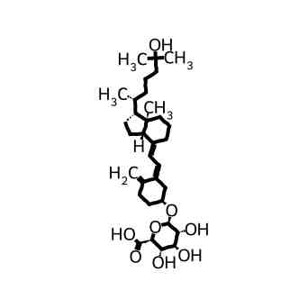 C=C1CC[C@H](O[C@@H]2O[C@H](C(=O)O)[C@@H](O)[C@H](O)[C@H]2O)C/C1=C/C=C1\CCC[C@]2(C)[C@@H]([C@H](C)CCCC(C)(C)O)CC[C@@H]12